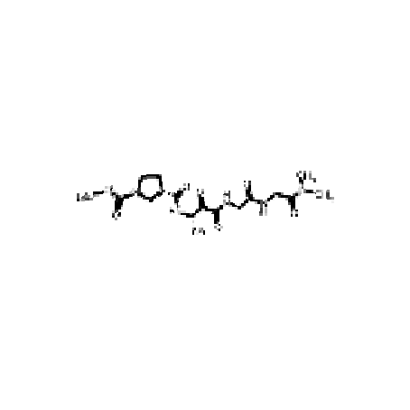 CCC[C@H](NC(=O)[C@H]1CCN(C(=O)OC(C)(C)C)C1)C(=O)C(=O)NCC(=O)NCC(=O)N(C)C